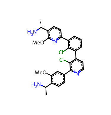 COc1cc(-c2nccc(-c3cccc(-c4ccc([C@@H](C)N)c(OC)n4)c3Cl)c2Cl)ccc1[C@@H](C)N